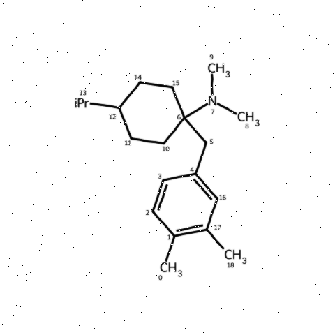 Cc1ccc(CC2(N(C)C)CCC(C(C)C)CC2)cc1C